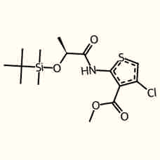 COC(=O)c1c(Cl)csc1NC(=O)[C@H](C)O[Si](C)(C)C(C)(C)C